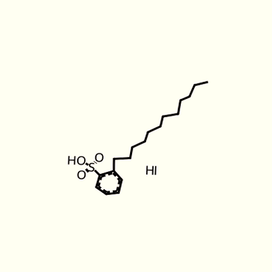 CCCCCCCCCCCCc1ccccc1S(=O)(=O)O.I